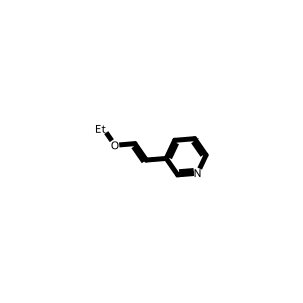 CCOC=Cc1c[c]cnc1